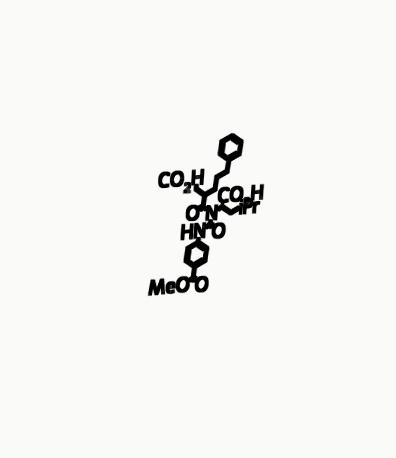 COC(=O)c1ccc(NC(=O)N(C(=O)C(CCCc2ccccc2)CC(=O)O)[C@@H](CC(C)C)C(=O)O)cc1